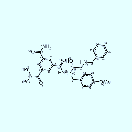 CCCN(CCC)C(=O)c1cc(C(N)=O)cc(C(=O)N[C@@H](Cc2ccc(OC)cc2)[C@H](O)CNCc2ccccc2)c1